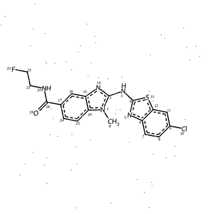 Cn1c(Nc2nc3ccc(Cl)cc3s2)nc2cc(C(=O)NCCF)ccc21